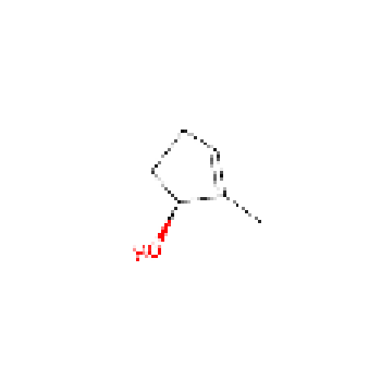 CC1=CCC[C@@H]1O